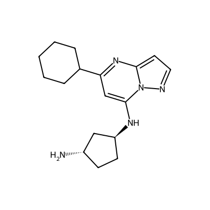 N[C@H]1CC[C@H](Nc2cc(C3CCCCC3)nc3ccnn23)C1